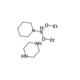 C1CNCCN1.CCO[SiH](OCC)N1CCCCC1